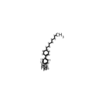 CCCCCCCCC1CC=C(c2ccc(S(F)(F)(F)(F)F)cc2)CC1